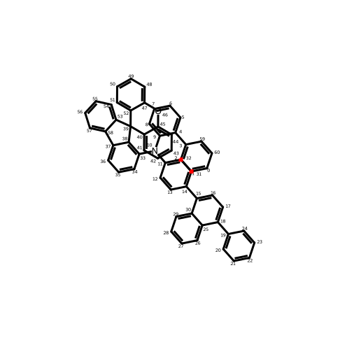 c1ccc(-c2ccccc2N(c2ccc(-c3ccc(-c4ccccc4)c4ccccc34)cc2)c2cccc3c2C2(c4ccccc4Oc4ccccc42)c2ccccc2-3)cc1